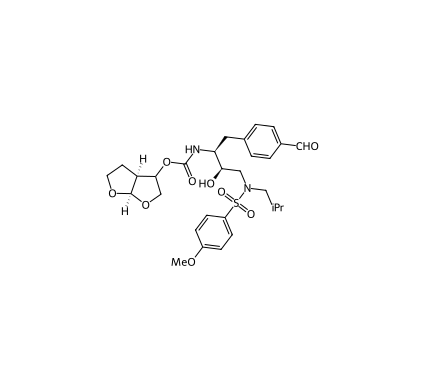 COc1ccc(S(=O)(=O)N(CC(C)C)C[C@@H](O)[C@H](Cc2ccc(C=O)cc2)NC(=O)OC2CO[C@H]3OCC[C@@H]23)cc1